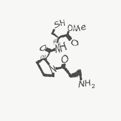 COC(=O)[C@H](CS)NC(=O)[C@@H]1CCCN1C(=O)CCN